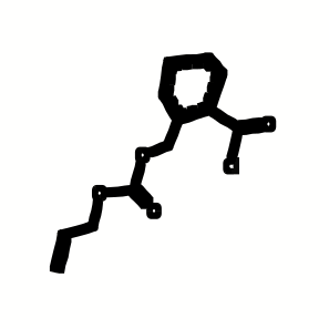 C=CCOC(=O)OCc1ccccc1C(=O)Cl